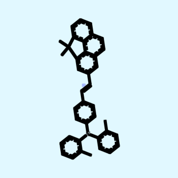 Cc1ccccc1N(c1ccc(/C=C/c2cc3c4c(ccc5cccc(c54)C3(C)C)c2)cc1)c1ccccc1C